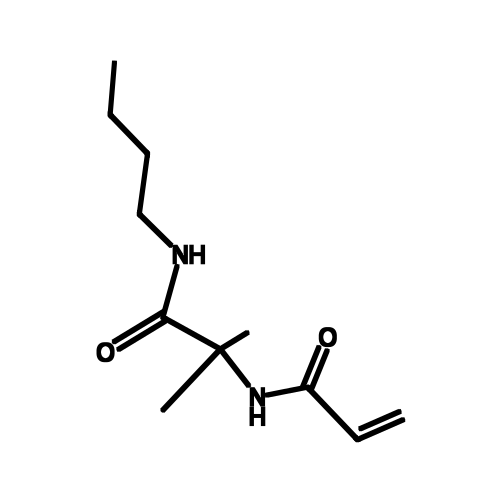 C=CC(=O)NC(C)(C)C(=O)NCCCC